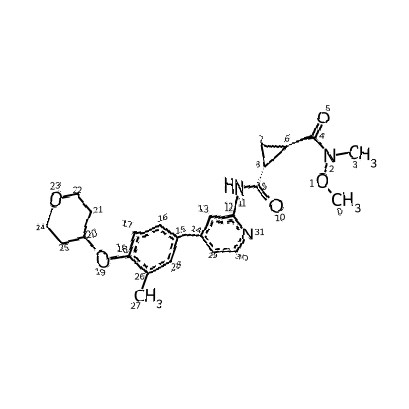 CON(C)C(=O)[C@@H]1C[C@H]1C(=O)Nc1cc(-c2ccc(OC3CCOCC3)c(C)c2)ccn1